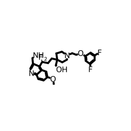 COc1ccc2ncc(CN)c([C@H](F)CCC3(CO)CCN(CCOc4cc(F)cc(F)c4)CC3)c2c1